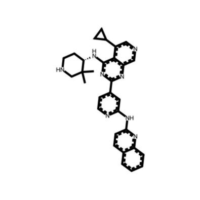 CC1(C)CNCC[C@@H]1Nc1nc(-c2ccnc(Nc3ccc4ccccc4n3)c2)nc2cncc(C3CC3)c12